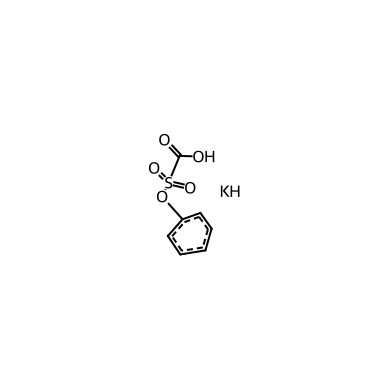 O=C(O)S(=O)(=O)Oc1ccccc1.[KH]